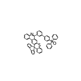 O=P(c1ccccc1)(c1ccccc1)c1ccc(-c2cccc(-c3nc4ccccc4c4cc5c(cc34)Sc3ccccc3C53c4ccccc4-c4ccccc43)c2)cc1